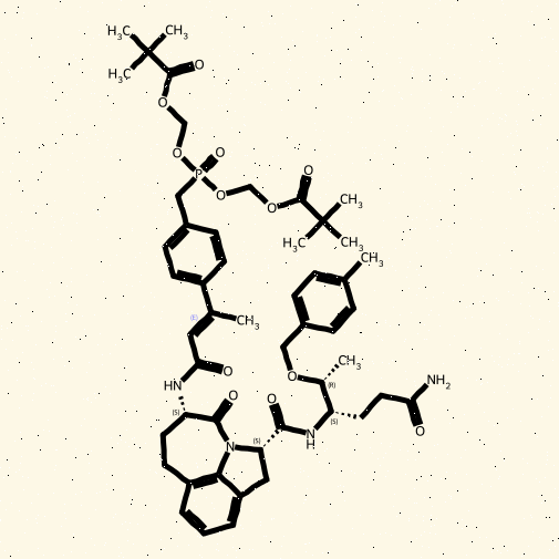 C/C(=C\C(=O)N[C@H]1CCc2cccc3c2N(C1=O)[C@H](C(=O)N[C@@H](CCC(N)=O)[C@@H](C)OCc1ccc(C)cc1)C3)c1ccc(CP(=O)(OCOC(=O)C(C)(C)C)OCOC(=O)C(C)(C)C)cc1